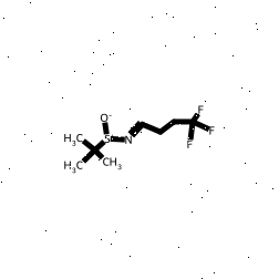 CC(C)(C)[S+]([O-])N=CCCC(F)(F)F